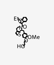 CCn1cc(C(=O)N2CCc3ccsc3C2Cc2ccc(OCCO)c(OC)c2)c2ccccc21